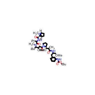 CCC(C)C(C(CC(=O)N1CCC[C@H]1C(OC)C(C)C(=O)NC(COC)Cc1cccc(NC(=O)OC(C)(C)C)c1)OC)N(C)C(=O)C(NC(=O)[C@@H]1[C@H]2CC[C@H](C2)N1C)C(C)C